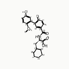 COc1ccc(Cl)cc1-c1cc(C(=O)N[C@H](CC2CCCCC2)C(=O)O)ccc1Cl